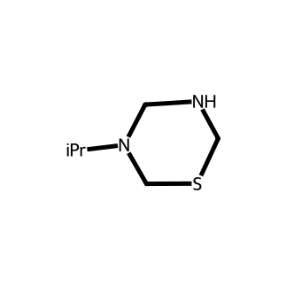 CC(C)N1CNCSC1